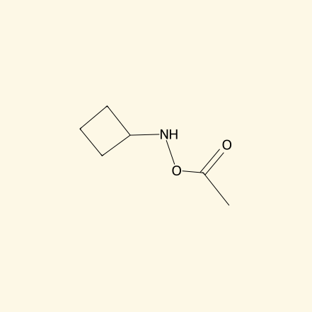 CC(=O)ONC1CCC1